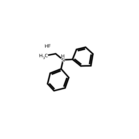 CC[SiH](c1ccccc1)c1ccccc1.F